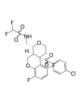 O=S(=O)(NC[C@@H]1OCC[C@@]2(S(=O)(=O)c3ccc(Cl)cc3)c3c(F)ccc(F)c3OC[C@@H]12)C(F)F